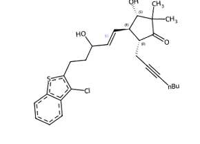 CCCCC#CC[C@H]1C(=O)C(C)(C)[C@@H](O)[C@@H]1/C=C/C(O)CCc1sc2ccccc2c1Cl